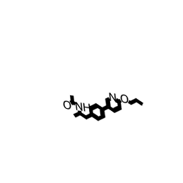 CCCOc1ccc(-c2ccc(CC(C)NC(C)=O)cc2)cn1